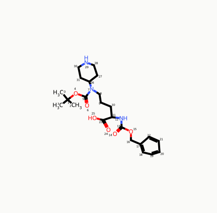 CC(C)(C)OC(=O)N(CCCC(NC(=O)OCc1ccccc1)C(=O)O)C1CCNCC1